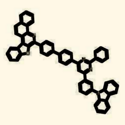 c1ccc(-c2nc(-c3ccc(-c4ccc(-c5nc6c7ccccc7ccc6c6c5oc5ccccc56)cc4)cc3)cc(-c3cccc(-n4c5ccccc5c5ccccc54)c3)n2)cc1